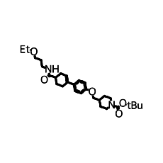 CCOCCCNC(=O)C1CC=C(c2ccc(OCC3CCN(C(=O)OC(C)(C)C)CC3)cc2)CC1